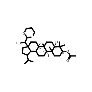 CC(=O)O[C@H]1CCC2(C)[C@H]3CCC4C5C(C(C)C)CCC5(C(O)C5SCCCS5)CC[C@@]4(C)C3(C)CC[C@H]2C1(C)C